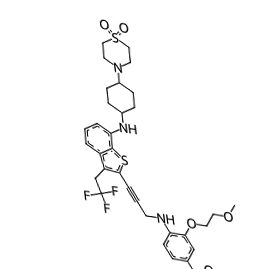 COCCOc1cc(S(C)(=O)=O)ccc1NCC#Cc1sc2c(NC3CCC(N4CCS(=O)(=O)CC4)CC3)cccc2c1CC(F)(F)F